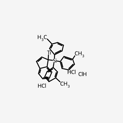 Cc1cccc([Si](c2cccc(C)c2)(c2cccc(C)c2)[C]2([Ti])C=Cc3ccccc32)c1.Cl.Cl.Cl